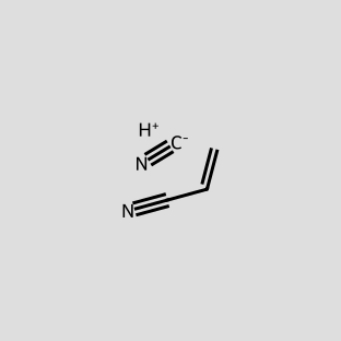 C=CC#N.[C-]#N.[H+]